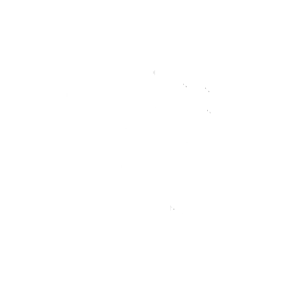 CCc1cc(-c2nn[nH]c2-c2ccc(N)cc2)c(O)cc1OC